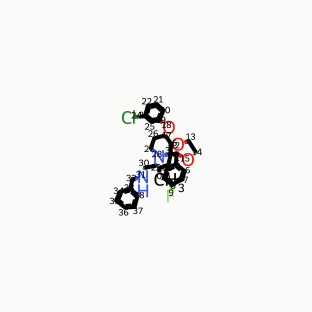 CCCC1(C2(c3ccc(F)cc3)OCCO2)CC(Oc2cccc(Cl)c2)CCN1CCNCc1ccccc1